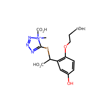 CCCCCCCCCCCCOc1ccc(O)cc1C(SC1=NN=N[N+]1(C)C(=O)O)C(=O)O